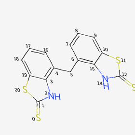 S=c1[nH]c2c(Cc3cccc4sc(=S)[nH]c34)cccc2s1